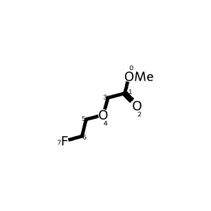 COC(=O)COCCF